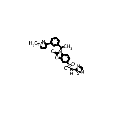 CC(c1cccc(-c2ccn(C)n2)c1)n1c(=O)oc2cc(S(=O)(=O)Nc3ncns3)ccc21